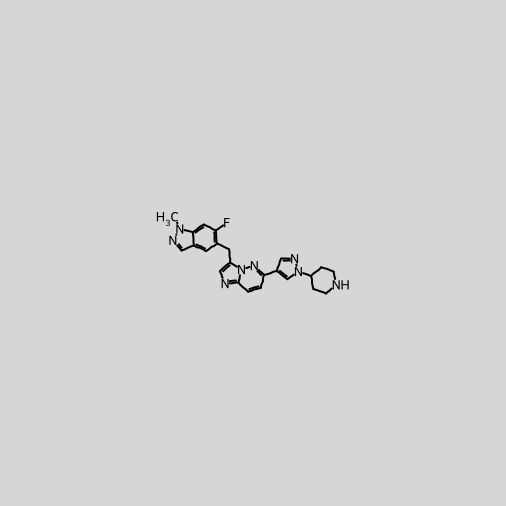 Cn1ncc2cc(Cc3cnc4ccc(-c5cnn(C6CCNCC6)c5)nn34)c(F)cc21